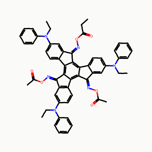 CCC(=O)O/N=c1\c2cc(N(CC)c3ccccc3)ccc2c2c3/c(=N/OC(C)=O)c4cc(N(CC)c5ccccc5)ccc4c3c3/c(=N/OC(C)=O)c4cc(N(CC)c5ccccc5)ccc4c3c12